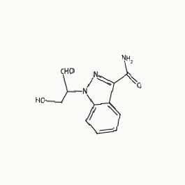 NC(=O)c1nn(C(C=O)CO)c2ccccc12